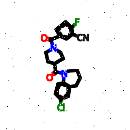 N#Cc1cc(C(=O)N2CCC(C(=O)N3CCCCc4cc(Cl)ccc43)CC2)ccc1F